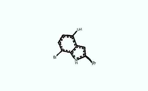 CC(C)c1cc2c(O)ccc(Br)c2[nH]1